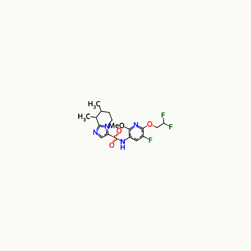 COc1nc(OCC(F)F)c(F)cc1NS(=O)(=O)c1cnc2n1CCC(C)C2C